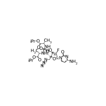 CC(C)OC(=O)C(C)NP(=O)(NC(C)C(=O)OC(C)C)OC[C@@]1(CN=[N+]=[N-])O[C@@H](n2ccc(N)nc2=O)[C@H](F)[C@@H]1O